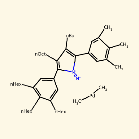 CCCCCCCCC1=C(c2cc(CCCCCC)c(CCCCCC)c(CCCCCC)c2)[N+](=[N-])C(c2cc(C)c(C)c(C)c2)=C1CCCC.[CH3][Pd][CH3]